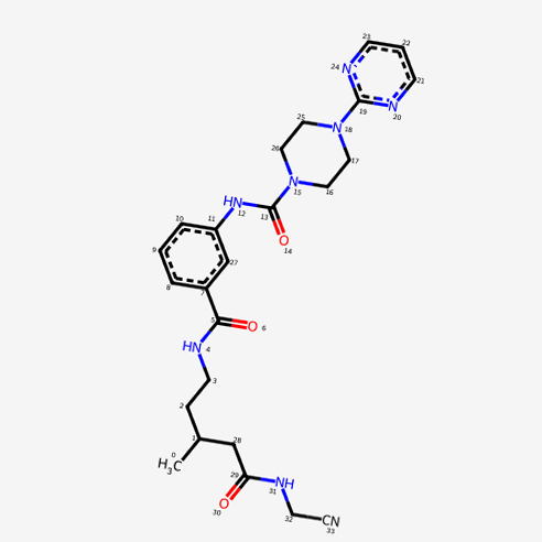 CC(CCNC(=O)c1cccc(NC(=O)N2CCN(c3ncccn3)CC2)c1)CC(=O)NCC#N